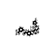 Cc1ccc(C(=O)Nc2cccc(C(F)(F)F)c2)cc1Nc1ncnc2cnc(N3CC[C@H](F)C3)nc12